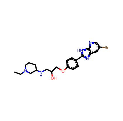 CCN1CCCC(NCC(O)COc2ccc(-c3nc4cc(Br)cnc4[nH]3)cc2)C1